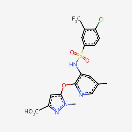 Cc1cnc(Oc2cc(C(=O)O)nn2C)c(NS(=O)(=O)c2ccc(Cl)c(C(F)(F)F)c2)c1